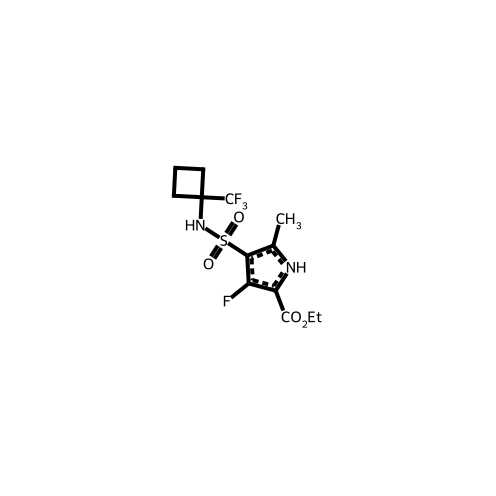 CCOC(=O)c1[nH]c(C)c(S(=O)(=O)NC2(C(F)(F)F)CCC2)c1F